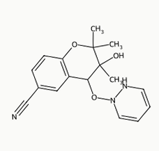 CC1(C)Oc2ccc(C#N)cc2C(ON2C=CC=CN2)C1(C)O